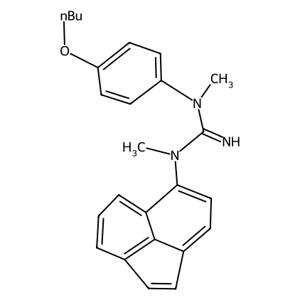 CCCCOc1ccc(N(C)C(=N)N(C)c2ccc3c4c(cccc24)C=C3)cc1